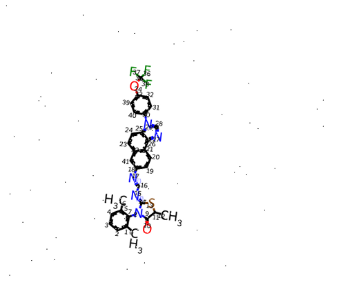 Cc1cccc(C)c1N1C(=O)C(C)S/C1=N\C=N\c1ccc2c(ccc3c2ncn3-c2ccc(OC(F)(F)F)cc2)c1